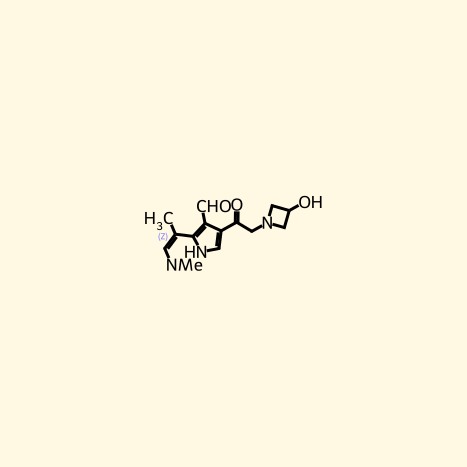 CN/C=C(/C)c1[nH]cc(C(=O)CN2CC(O)C2)c1C=O